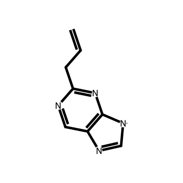 C=CCc1ncc2c(n1)[N]C=N2